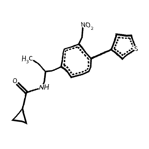 CC(NC(=O)C1CC1)c1ccc(-c2ccsc2)c([N+](=O)[O-])c1